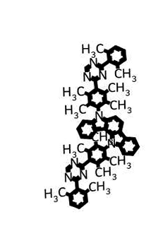 Cc1cccc(C)c1-c1ncnc(-c2c(C)c(C)c(-n3c4ccccc4c4c3ccc3c5ccccc5n(-c5c(C)c(C)c(-c6ncnc(-c7c(C)cccc7C)n6)c(C)c5C)c34)c(C)c2C)n1